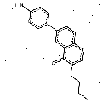 CCCCn1cnc2ccc(-c3ccc(N)nc3)cc2c1=O